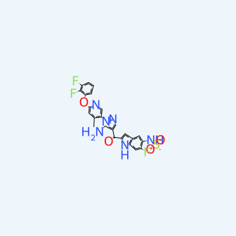 Cc1cc(Oc2cccc(F)c2F)ncc1-n1ncc(C(=O)c2cc3cc(NS(C)(=O)=O)c(F)cc3[nH]2)c1N